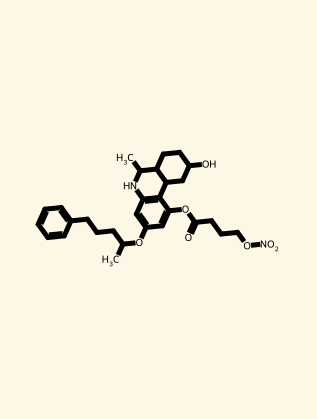 CC(CCCc1ccccc1)Oc1cc2c(c(OC(=O)CCCO[N+](=O)[O-])c1)C1CC(O)CCC1C(C)N2